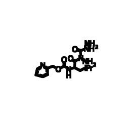 CC(C)CC(NC(=O)OCc1ccccn1)C(=O)N(N)C(=O)NN